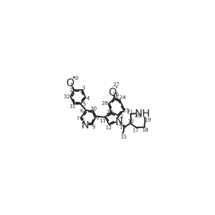 COc1ccc(-c2cncc(-c3cn(C(C)C4CCCNC4)c4ccc(OC)cc34)c2)cc1